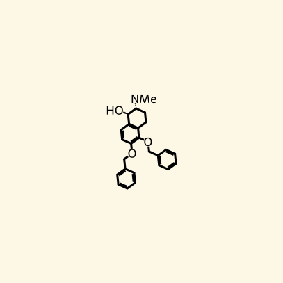 CN[C@@H]1CCc2c(ccc(OCc3ccccc3)c2OCc2ccccc2)[C@H]1O